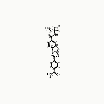 CNC(=O)c1ccc(-c2cn3c(n2)sc2cc(C(=O)NC4(CN)CCC4)ccc23)cc1